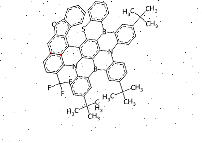 CC(C)(C)c1ccc2c(c1)B1c3ccccc3Sc3c1c1c4c(c3-c3cccc5oc6ccccc6c35)N(c3ccccc3C(F)(F)F)c3ccc(C(C)(C)C)cc3B4c3cc(C(C)(C)C)ccc3N21